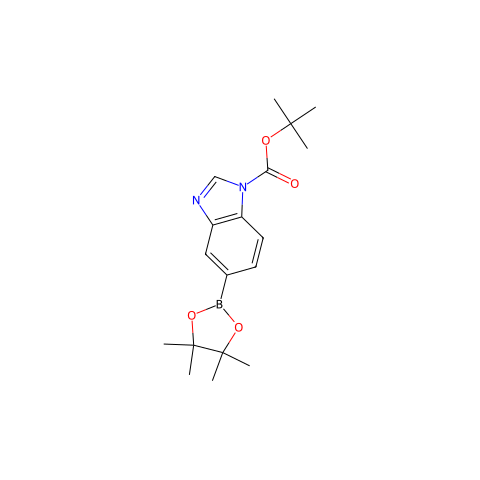 CC(C)(C)OC(=O)n1cnc2cc(B3OC(C)(C)C(C)(C)O3)ccc21